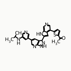 CC(=O)c1ccc(-c2cncc3[nH]c(-c4n[nH]c5ncc(-c6cncc(NC(C)C)c6)cc45)cc23)s1